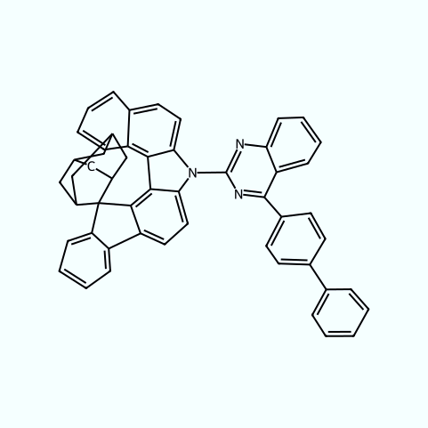 c1ccc(-c2ccc(-c3nc(-n4c5ccc6c(c5c5c7ccccc7ccc54)C4(c5ccccc5-6)C5CC6CC(C5)CC4C6)nc4ccccc34)cc2)cc1